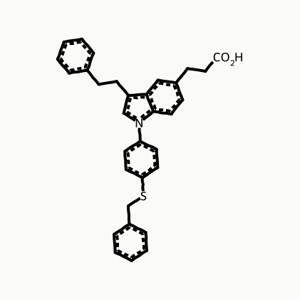 O=C(O)CCc1ccc2c(c1)c(CCc1ccccc1)cn2-c1ccc(SCc2ccccc2)cc1